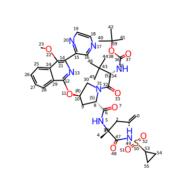 C=CC[C@@](C)(NC(=O)[C@@H]1C[C@@H](Oc2nc(-c3cnccn3)c(OC)c3ccccc23)CN1C(=O)[C@@H](NC(=O)OC(C)(C)C)C(C)(C)C)C(=O)NS(=O)(=O)C1CC1